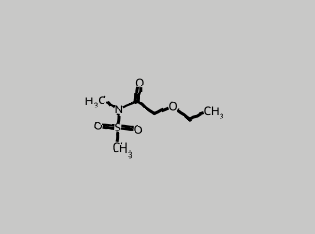 CCOCC(=O)N(C)S(C)(=O)=O